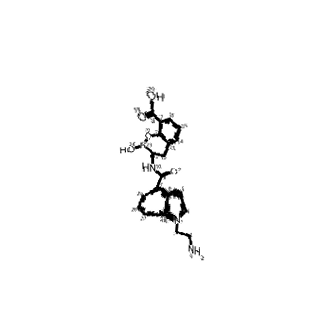 NCCn1ccc2c(C(=O)NC3Cc4cccc(C(=O)O)c4OB3O)cccc21